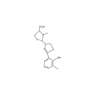 Cc1cccc(C2=NC(C3SCC(C(=O)O)N3C)CS2)c1O